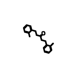 Cc1ccccc1CCC(=O)CCc1ccccc1C